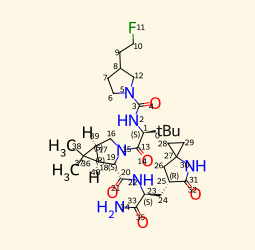 CC(C)(C)[C@H](NC(=O)N1CCC(CCF)C1)C(=O)N1C[C@H]2[C@@H]([C@H]1C(=O)N[C@@H](C[C@@H]1CC3(CC3)NC1=O)C(N)=O)C2(C)C